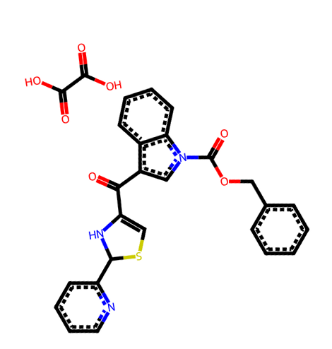 O=C(C1=CSC(c2ccccn2)N1)c1cn(C(=O)OCc2ccccc2)c2ccccc12.O=C(O)C(=O)O